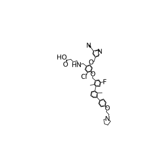 Cc1c(COc2cc(OCc3cncc(C#N)c3)c(CNCCCC(=O)O)cc2Cl)cc(F)cc1-c1cccc(-c2ccc(OCCN3CCCC3)cc2)c1C